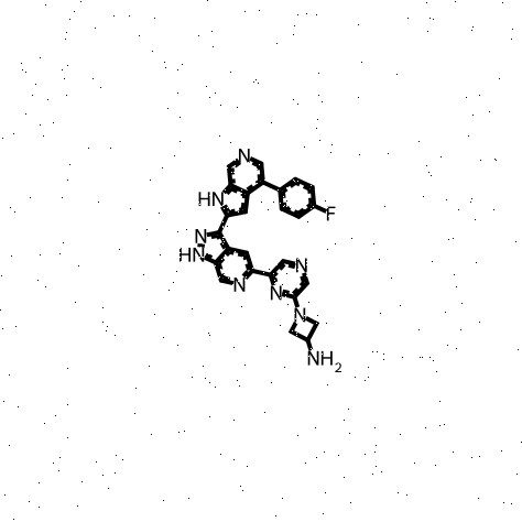 NC1CN(c2cncc(-c3cc4c(-c5cc6c(-c7ccc(F)cc7)cncc6[nH]5)n[nH]c4cn3)n2)C1